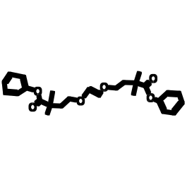 CC(C)(CCOC=COCCC(C)(C)C(=O)Oc1ccccc1)C(=O)Oc1ccccc1